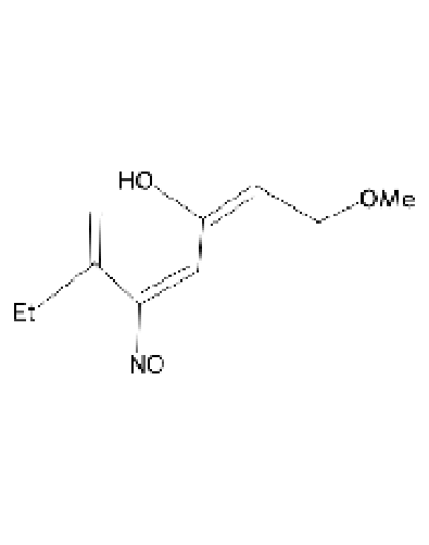 C=C(CC)/C(=C\C(O)=C/COC)N=O